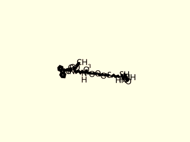 C/C=C/OC(=O)C(CCCCNC(=O)CCOCCOCCOCCSCCCCC[C@@H]1SC[C@@H]2NC(=O)N[C@@H]21)NC(=O)OCC1c2ccccc2-c2ccccc21